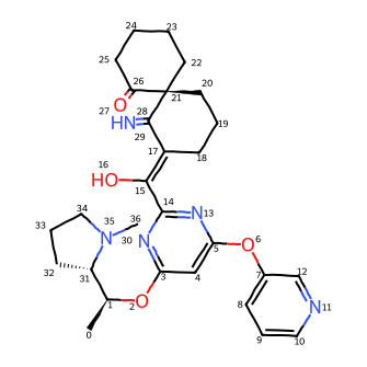 C[C@H](Oc1cc(Oc2cccnc2)nc(/C(O)=C2\CCC[C@@]3(CCCCC3=O)C2=N)n1)[C@@H]1CCCN1C